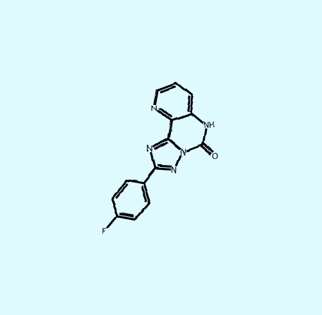 O=c1[nH]c2cccnc2c2nc(-c3ccc(F)cc3)nn12